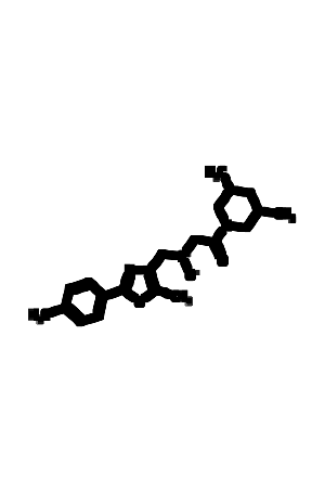 Cc1ccc(-c2nc(C[S+]([O-])CC(=O)N3CC(C)CC(C)C3)c(C)o2)cc1